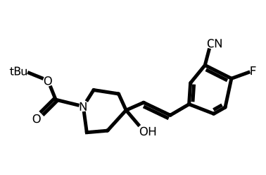 CC(C)(C)OC(=O)N1CCC(O)(/C=C/c2ccc(F)c(C#N)c2)CC1